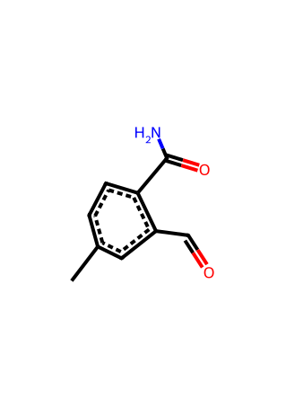 Cc1ccc(C(N)=O)c(C=O)c1